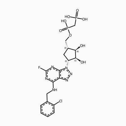 O=P(O)(O)CP(=O)(O)OC[C@H]1C[C@@H](n2nnc3c(NCc4ccccc4Cl)nc(F)nc32)[C@H](O)[C@@H]1O